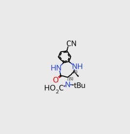 C[C@@H]1Nc2cc(C#N)ccc2NC(=O)[C@H]1N(C(=O)O)C(C)(C)C